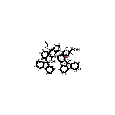 CCOc1nc(NC(c2ccccc2)(c2ccccc2)c2ccccc2)nc2c1ncn2[C@@H]1O[C@](F)(CO)[C@@H](OC(c2ccccc2)(c2ccccc2)c2ccccc2)[C@@]1(C)F